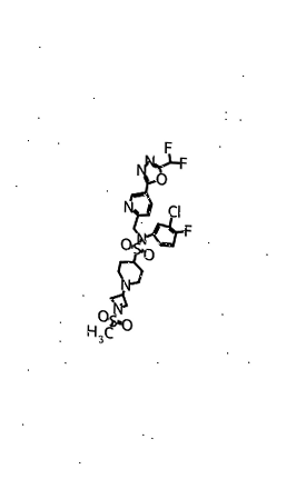 CS(=O)(=O)N1CC(N2CCC(S(=O)(=O)N(Cc3ccc(-c4nnc(C(F)F)o4)cn3)c3ccc(F)c(Cl)c3)CC2)C1